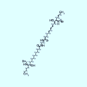 CCCCCC(NCBr)C(O)CCCCCCCCCCC(=O)NCCNC(=O)CCCCCCCCCCC(O)C(CCCCC)NCBr